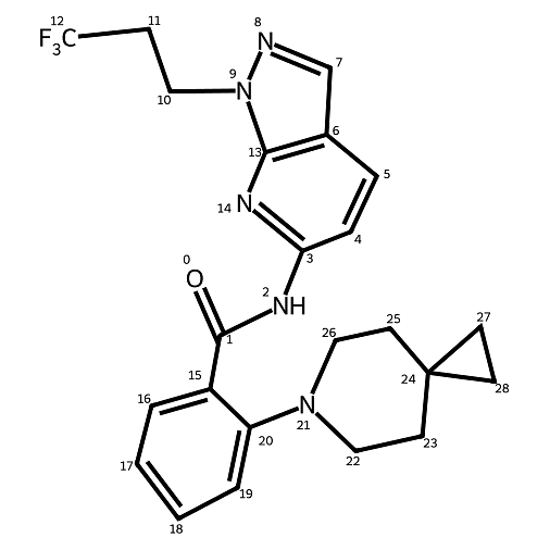 O=C(Nc1ccc2cnn(CCC(F)(F)F)c2n1)c1ccccc1N1CCC2(CC1)CC2